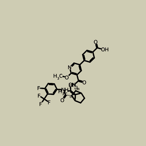 COc1ncc(-c2ccc(C(=O)O)cc2)cc1C(=O)N[C@@H]1C2CCC(C2=C(C)C)[C@@H]1C(=O)Nc1ccc(F)c(C(F)(F)F)c1